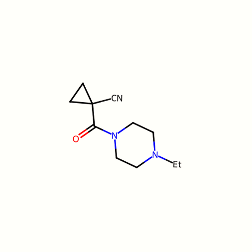 CCN1CCN(C(=O)C2(C#N)CC2)CC1